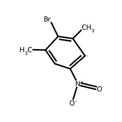 Cc1[c]c([N+](=O)[O-])cc(C)c1Br